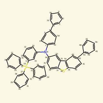 c1ccc(-c2ccc(N(c3cccc(S(c4ccccc4)(c4ccccc4)c4ccccc4)c3)c3ccc4sc5ccc(-c6ccccc6)cc5c4c3)cc2)cc1